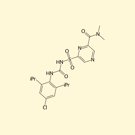 CC(C)c1cc(Cl)cc(C(C)C)c1NC(=O)NS(=O)(=O)c1cncc(C(=O)N(C)C)n1